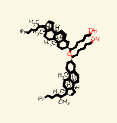 CC(C)CCC[C@@H](C)[C@H]1CC[C@H]2[C@@H]3CC=C4C[C@@H](C(CCCCCO)OC(CCCCCO)[C@H]5CC[C@@]6(C)C(=CC[C@H]7[C@@H]8CC[C@H]([C@H](C)CCCC(C)C)[C@@]8(C)CC[C@@H]76)C5)CC[C@]4(C)[C@H]3CC[C@]12C